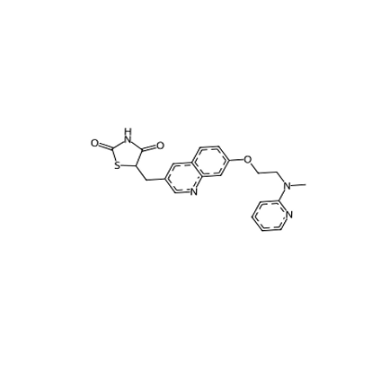 CN(CCOc1ccc2cc(CC3SC(=O)NC3=O)cnc2c1)c1ccccn1